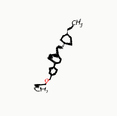 C=CCOCc1ccc(-c2ccc(CC[C@H]3CC[C@H](C=CC)CC3)cc2)cc1